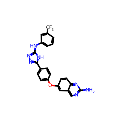 Nc1ncc2cc(Oc3ccc(-c4nnc(Nc5cccc(C(F)(F)F)c5)[nH]4)cc3)ccc2n1